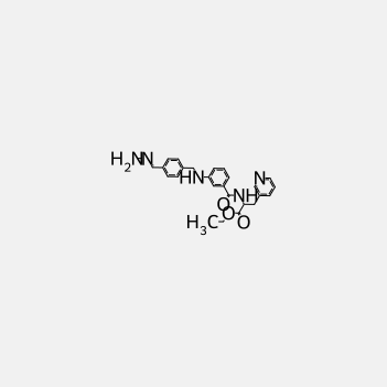 CCOC(=O)C(Cc1cccnc1)NC(=O)c1cccc(NCc2ccc(C=NN)cc2)c1